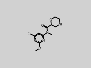 COc1nc(Cl)cc(N(C)C(=O)C2CNCCO2)n1